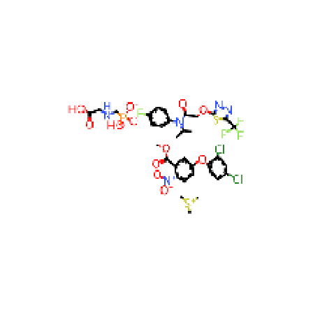 CC(C)N(C(=O)COc1nnc(C(F)(F)F)s1)c1ccc(F)cc1.COC(=O)c1cc(Oc2ccc(Cl)cc2Cl)ccc1[N+](=O)[O-].C[S+](C)C.O=C(O)CNCP(=O)([O-])O